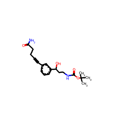 CC(C)(C)OC(=O)NCCC(O)c1cccc(C#CCCC(N)=O)c1